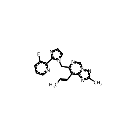 C/C=C/c1c(Cn2ccnc2-c2ncccc2F)ncn2nc(C)nc12